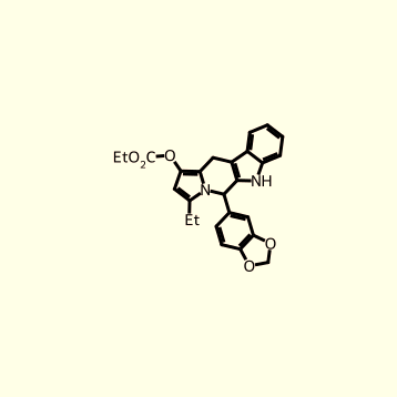 CCOC(=O)Oc1cc(CC)n2c1Cc1c([nH]c3ccccc13)C2c1ccc2c(c1)OCO2